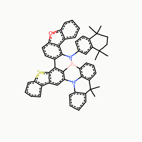 CC1(C)CCC(C)(C)c2cc(N3B4c5cccc6c5N(c5ccccc5C6(C)C)c5cc6c(sc7ccccc76)c(c54)-c4ccc5oc6ccccc6c5c43)ccc21